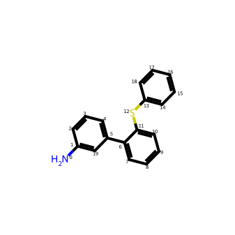 Nc1cccc(-c2ccccc2Sc2ccccc2)c1